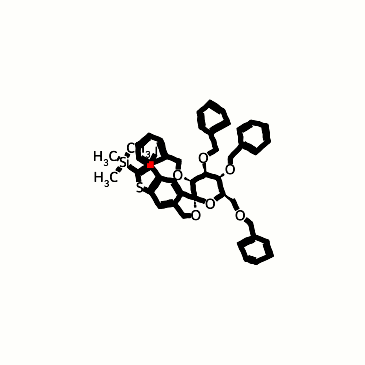 C[Si](C)(C)c1sc2cc3c(cc2c1I)[C@]1(OC3)O[C@H](COCc2ccccc2)[C@@H](OCc2ccccc2)[C@H](OCc2ccccc2)[C@H]1OCc1ccccc1